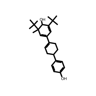 CC(C)(C)C1=CC(C2=CCC(c3ccc(O)cc3)CC2)=CC(C)(C(C)(C)C)C1O